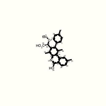 Cc1ccc(-c2c([C@H](OC(C)(C)C)C(=O)O)c(C)c3nc(O)c4ccc(C)cc4c3c2C)cc1